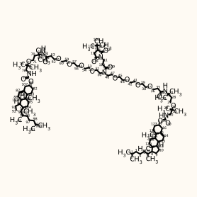 CC(C)CCC[C@H](C)C1CCC2[C@H]3CC=C4C[C@H](OC(=O)NCC(C)(C)OCCC(C)(C)NC(=O)CCOCCOCCOCCOCCN(CCOCCOCCOCCOCCC(=O)NC(C)(C)CCOC(C)(C)CNC(=O)O[C@@H]5CC[C@]6(C)C(=CCC7[C@H]8CC[C@@H]([C@@H](C)CCCC(C)C)[C@]8(C)CC[C@H]76)C5)C(=O)CCN5C(=O)CC(C(C)(C)C)C5=O)CC[C@@]4(C)C3CC[C@]21C